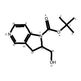 CC(C)(C)OC(=O)N1c2ccncc2CC1CO